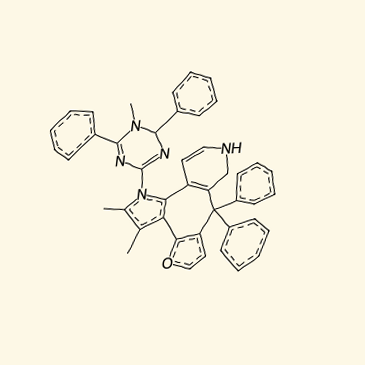 Cc1c2c(n(C3=NC(c4ccccc4)N(C)C(c4ccccc4)=N3)c1C)C1=C(CNC=C1)C(c1ccccc1)(c1ccccc1)c1ccoc1-2